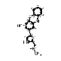 CNCc1nc(-c2ccc3c(c2)Nc2ccccc2S3)c[nH]1.Cl